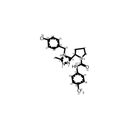 Cc1nnc(C2CCCN2C(=O)Nc2ccc(C(F)(F)F)cc2)n1Cc1ccc(Cl)cc1